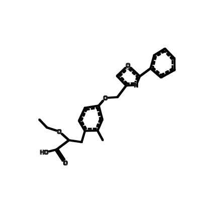 CCOC(Cc1ccc(OCc2coc(-c3ccccc3)n2)cc1C)C(=O)O